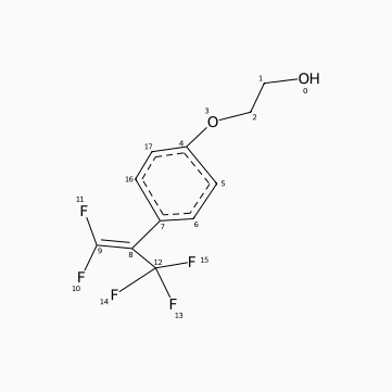 OCCOc1ccc(C(=C(F)F)C(F)(F)F)cc1